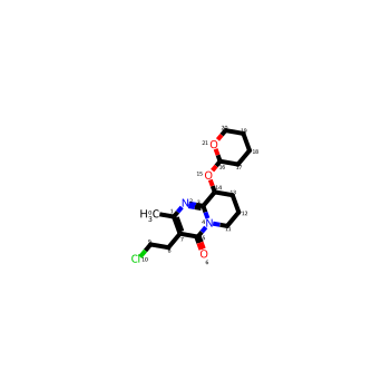 Cc1nc2n(c(=O)c1CCCl)CCCC2OC1CCCCO1